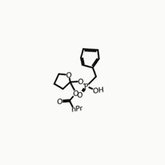 CCCC(=O)OC1(OP(=O)(O)Cc2ccccc2)CCCO1